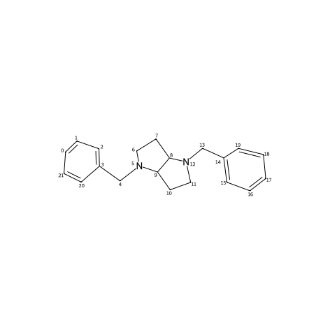 c1ccc(CN2CCC3C2CCN3Cc2ccccc2)cc1